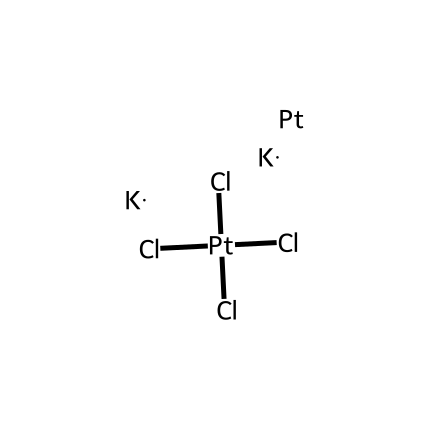 [Cl][Pt]([Cl])([Cl])[Cl].[K].[K].[Pt]